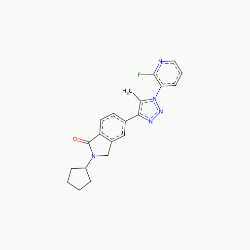 Cc1c(-c2ccc3c(c2)CN(C2CCCC2)C3=O)nnn1-c1cccnc1F